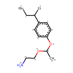 CCC(CC(C)(C)C)c1ccc(OC(C)OCCN)cc1